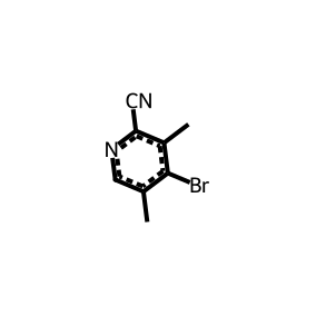 Cc1cnc(C#N)c(C)c1Br